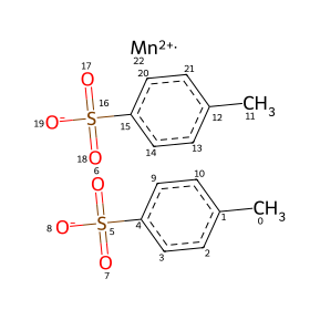 Cc1ccc(S(=O)(=O)[O-])cc1.Cc1ccc(S(=O)(=O)[O-])cc1.[Mn+2]